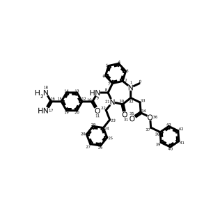 CN1c2ccccc2C(NC(=O)c2ccc(C(=N)N)cc2)N(CCc2ccccc2)C(=O)C1CC(=O)OCc1ccccc1